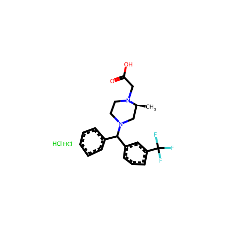 C[C@H]1CN(C(c2ccccc2)c2cccc(C(F)(F)F)c2)CCN1CC(=O)O.Cl.Cl